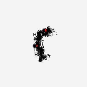 CC(C)OC(=O)[C@H](C)NP(=O)(Oc1ccccc1)O[C@@H](C)[C@H]1O[C@@H](n2ccc3c(=O)[nH]c(NC(C)OC(=O)[C@H](C)N[P@@](=O)(Oc4ccccc4)O[C@@H](C)[C@H](O)O[C@@H](n4ccc5c(=O)[nH]c(NC(C)OC(=O)[C@H](C)N[P@](=O)(Oc6ccccc6)O[C@@H](C)[C@H]6O[C@@H](n7ccc8c(=O)[nH]c(N)nc87)[C@@](O)(CF)C6O)nc54)[C@@](C)(O)CF)nc32)[C@@](O)(CF)C1O